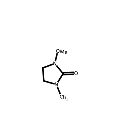 CON1CCN(C)C1=O